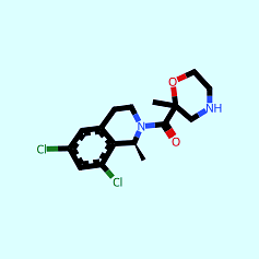 C[C@H]1c2c(Cl)cc(Cl)cc2CCN1C(=O)C1(C)CNCCO1